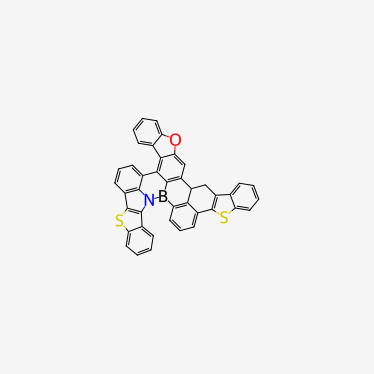 c1cc2c3c(c1)-c1sc4ccccc4c1CC3c1cc3oc4ccccc4c3c3c1B2n1c2c-3cccc2c2sc3ccccc3c21